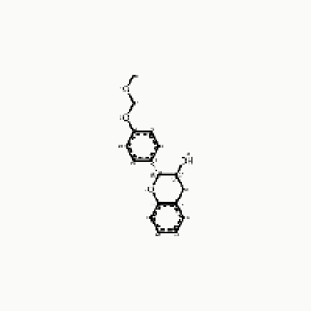 COCOc1ccc([C@H]2Oc3ccccc3C[C@@H]2O)cc1